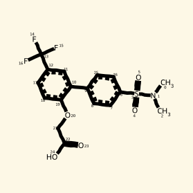 CN(C)S(=O)(=O)c1ccc(-c2cc(C(F)(F)F)ccc2OCC(=O)O)cc1